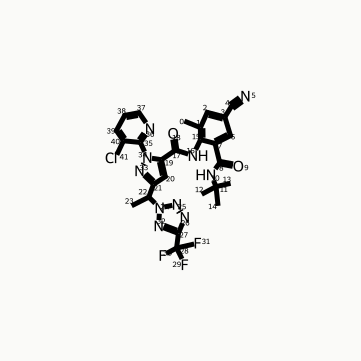 Cc1cc(C#N)cc(C(=O)NC(C)(C)C)c1NC(=O)c1cc(C(C)n2nnc(C(F)(F)F)n2)nn1-c1ncccc1Cl